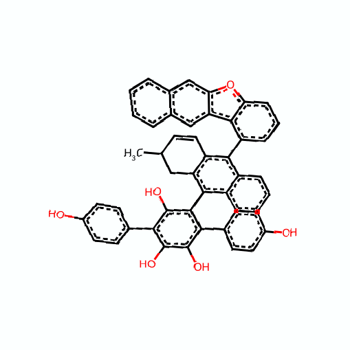 CC1C=Cc2c(c(-c3c(O)c(-c4ccc(O)cc4)c(O)c(O)c3-c3ccc(O)cc3)c3ccccc3c2-c2cccc3oc4cc5ccccc5cc4c23)C1